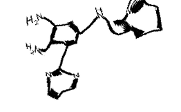 Nc1cc(NCc2ccccn2)cc(-c2ncccn2)c1N